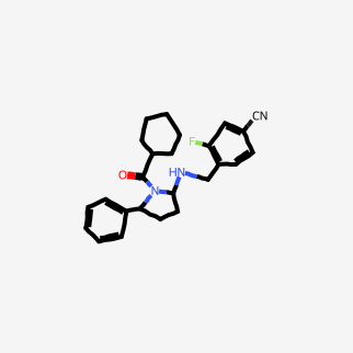 N#Cc1ccc(CNC2CCC(c3ccccc3)N2C(=O)C2CCCCC2)c(F)c1